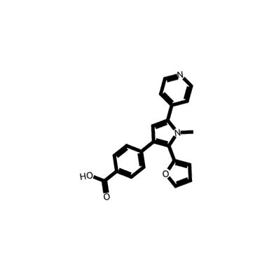 Cn1c(-c2ccncc2)cc(-c2ccc(C(=O)O)cc2)c1-c1ccco1